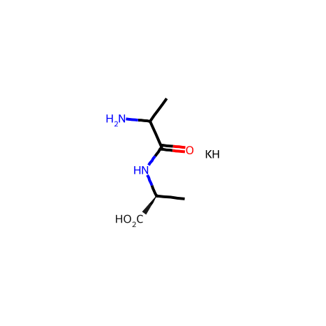 CC(N)C(=O)N[C@@H](C)C(=O)O.[KH]